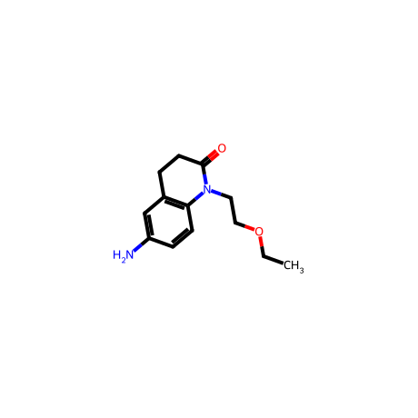 CCOCCN1C(=O)CCc2cc(N)ccc21